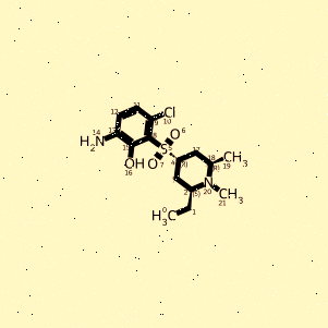 CC[C@H]1C[C@H](S(=O)(=O)c2c(Cl)ccc(N)c2O)C[C@@H](C)N1C